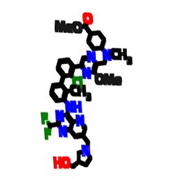 COC(=O)C1CCC(N(C)Cc2ncc(-c3cccc(-c4cccc(Nc5nc(C(F)F)nc6cc(CN7CC[C@@H](CO)C7)cnc56)c4C)c3Cl)nc2OC)CC1